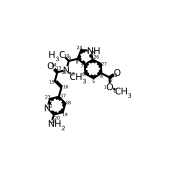 COC(=O)c1ccc2c(C(C)N(C)C(=O)/C=C/c3ccc(N)nc3)c[nH]c2c1